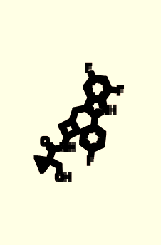 O=C(NC1CC(Cc2c(-c3ccc(F)cc3)[nH]c3c(F)cc(F)cc23)C1)C1(CO)CC1